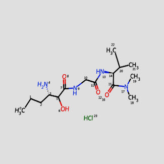 CCC[C@H](N)C(O)C(=O)NCC(=O)N[C@H](C(=O)N(C)C)C(C)C.Cl